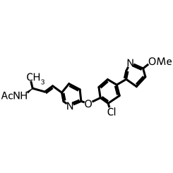 COc1ccc(-c2ccc(Oc3ccc(/C=C/[C@H](C)NC(C)=O)cn3)c(Cl)c2)cn1